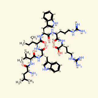 CC[C@H](C)[C@H](NC(=O)[C@H](Cc1c[nH]c2ccccc12)NC(=O)[C@@H](NC(=O)[C@@H](N)CC(C)C)C(C)C)C(=O)N[C@@H](Cc1c[nH]c2ccccc12)C(=O)N[C@@H](CCCNC(=N)N)C(=O)N[C@@H](CCCNC(=N)N)C(=O)O